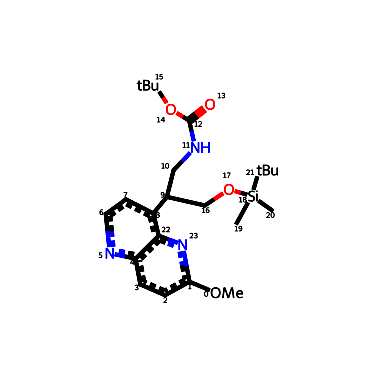 COc1ccc2nccc(C(CNC(=O)OC(C)(C)C)CO[Si](C)(C)C(C)(C)C)c2n1